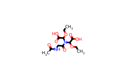 [CH2]C(=O)NCC(=O)N(C(OCC)C(=O)O)C(OCC)C(=O)O